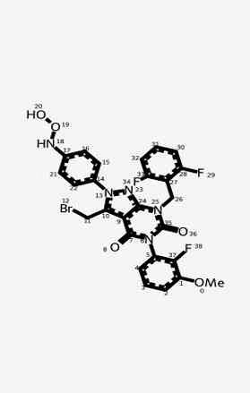 COc1cccc(-n2c(=O)c3c(CBr)n(-c4ccc(NOO)cc4)nc3n(Cc3c(F)cccc3F)c2=O)c1F